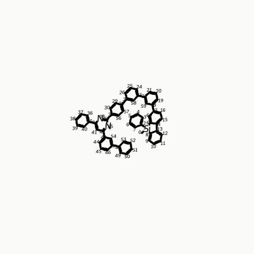 C[Si]1(c2ccccc2)c2ccccc2-c2ccc(-c3cccc(-c4cccc(-c5ccc(-c6nc(-c7ccccc7)cc(-c7cccc(-c8ccccc8)c7)n6)cc5)c4)c3)cc21